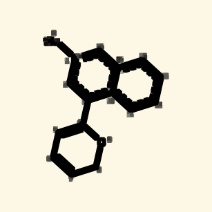 CC(C)(C)[n+]1cc(C2=CC=CCO2)c2ccccc2c1